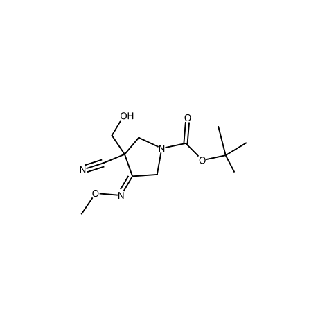 CO/N=C1/CN(C(=O)OC(C)(C)C)CC1(C#N)CO